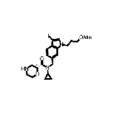 COCCCn1cc(I)c2ccc(CN(C(=O)[C@H]3CNCCO3)C3CC3)cc21